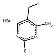 Br.Cc1ncc(CI)c(N)n1